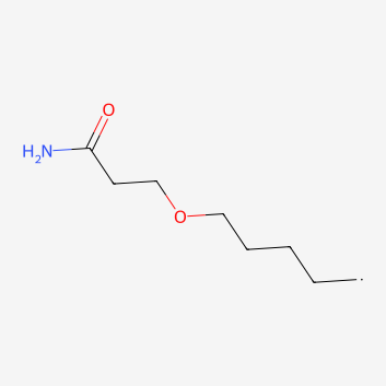 [CH2]CCCCOCCC(N)=O